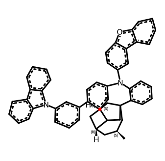 C[C@H]1C[C@@H]2C[C@H]3CC(c4ccccc4N(c4ccc(-c5cccc(-n6c7ccccc7c7ccccc76)c5)cc4)c4ccc5oc6ccccc6c5c4)(CC23)C1